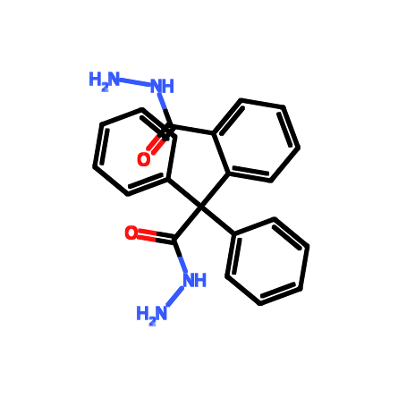 NNC(=O)c1ccccc1C(C(=O)NN)(c1ccccc1)c1ccccc1